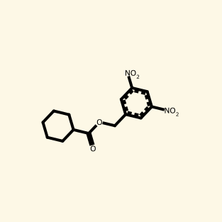 O=C(OCc1cc([N+](=O)[O-])cc([N+](=O)[O-])c1)C1CCCCC1